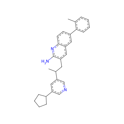 Cc1ccccc1-c1ccc2nc(N)c(CC(C)c3cncc(C4CCCC4)c3)cc2c1